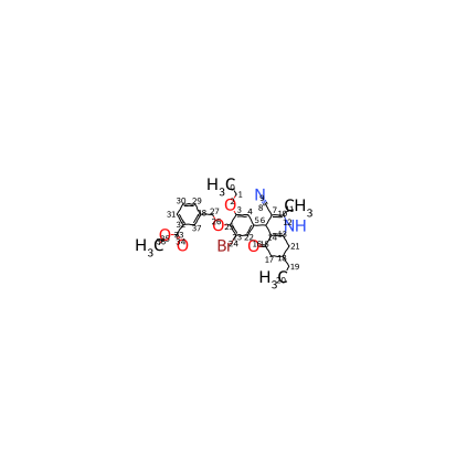 CCOc1cc(C2C(C#N)=C(C)NC3=C2C(=O)CC(CC)C3)cc(Br)c1OCc1cccc(C(=O)OC)c1